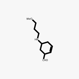 COCCCNC1CC=CC(C=O)C1